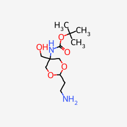 CC(C)(C)OC(=O)NC1(CO)COC(CCN)OC1